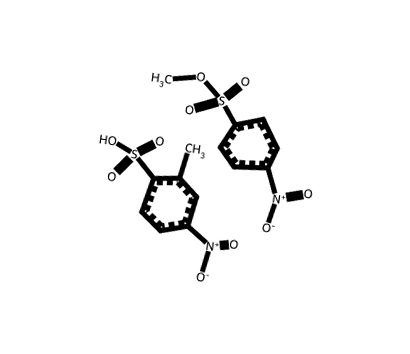 COS(=O)(=O)c1ccc([N+](=O)[O-])cc1.Cc1cc([N+](=O)[O-])ccc1S(=O)(=O)O